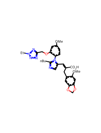 CCCCc1ncc(/C=C(\Cc2cc3c(cc2OC)OCO3)C(=O)O)n1-c1ccc(OC)cc1OCc1nnn(CC)n1